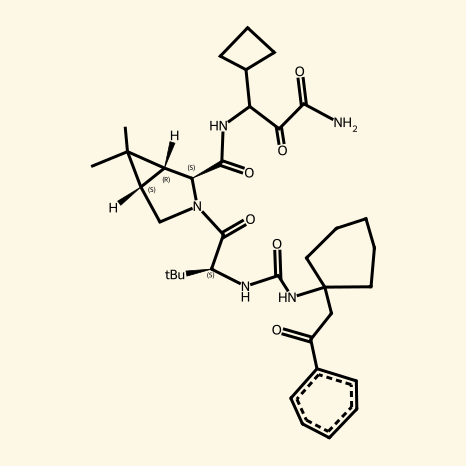 CC(C)(C)[C@H](NC(=O)NC1(CC(=O)c2ccccc2)CCCCC1)C(=O)N1C[C@H]2[C@@H]([C@H]1C(=O)NC(C(=O)C(N)=O)C1CCC1)C2(C)C